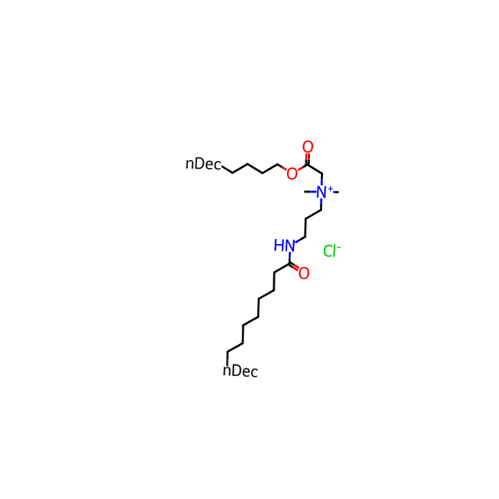 CCCCCCCCCCCCCCCCCC(=O)NCCC[N+](C)(C)CC(=O)OCCCCCCCCCCCCCC.[Cl-]